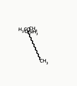 CCCCCCCCCCCCCCCCCCC([SiH3])(OC)OC